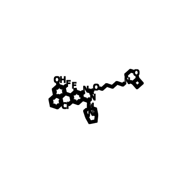 Oc1cc2ccccc2c(-c2c(Cl)cc3c(N4CC5CCC(C4)N5)nc(OCCCCCN4CCOC5CCC54)nc3c2F)c1F